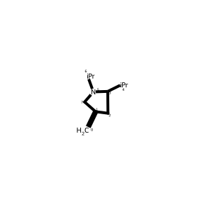 C=C1CC(C(C)C)N(C(C)C)C1